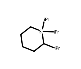 CC(C)C1CCCC[Si]1(C(C)C)C(C)C